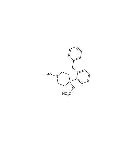 CC(=O)N1CCC(OC(=O)O)(c2ccccc2Sc2ccccc2)CC1